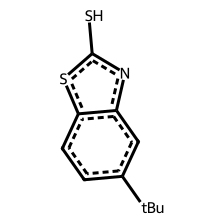 CC(C)(C)c1ccc2sc(S)nc2c1